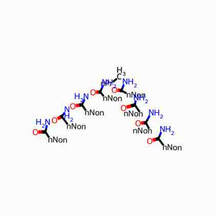 CCCC.CCCCCCCCCC(N)=O.CCCCCCCCCC(N)=O.CCCCCCCCCC(N)=O.CCCCCCCCCC(N)=O.CCCCCCCCCC(N)=O.CCCCCCCCCC(N)=O.CCCCCCCCCC(N)=O.CCCCCCCCCC(N)=O